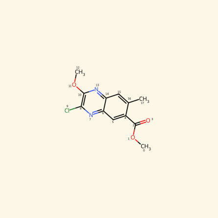 COC(=O)c1cc2nc(Cl)c(OC)nc2cc1C